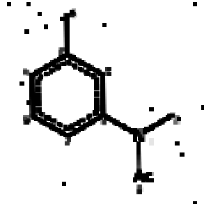 CC(=O)N(C)c1cccc(C)c1